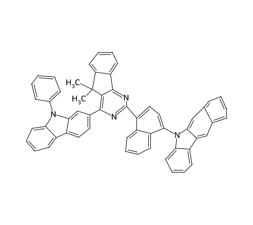 CC1(C)c2ccccc2-c2nc(-c3ccc(-n4c5ccccc5c5cc6ccccc6cc54)c4ccccc34)nc(-c3ccc4c5ccccc5n(-c5ccccc5)c4c3)c21